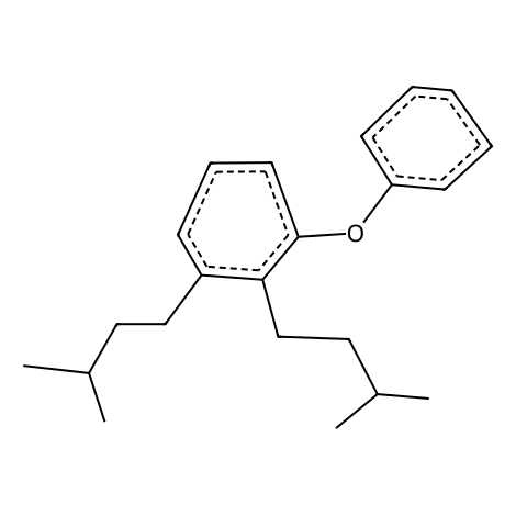 CC(C)CCc1cccc(Oc2ccccc2)c1CCC(C)C